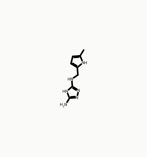 Cc1ccc(CNc2nnc(N)[nH]2)[nH]1